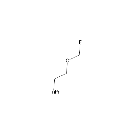 CCCCCO[CH]F